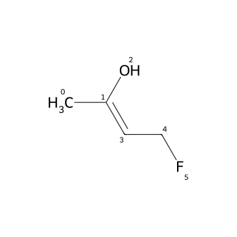 CC(O)=CCF